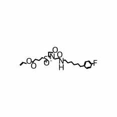 C=CCOC(=O)CCC[S+]([O-])C1CC(=O)N1CC(=O)NCCCCCCc1ccc(F)cc1